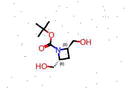 CC(C)(C)OC(=O)N1[C@@H](CO)C[C@@H]1CO